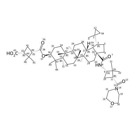 CC1([C@@H]2CC[C@]3(C(=O)N[C@H]4C[C@@H](C(=O)N5CCOCC5)C4(C)C)CC[C@]4(C)[C@H](CC[C@]5(C)[C@@]6(C)CC[C@H](OC(=O)[C@H]7C[C@@H](C(=O)O)C7(C)C)C(C)(C)[C@]6(C)CC[C@]54C)C23)CC1